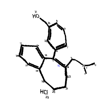 CN(C)C/C1=C(\c2cccc(O)c2)c2ccccc2CCCC1.Cl